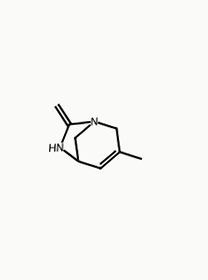 C=C1NC2C=C(C)CN1C2